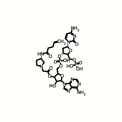 C=CCCC(=O)N[C@H]1CCN(CC(=O)OC2C(COP(=O)(O)O[C@@H]3C[C@H](n4ccc(N)nc4=O)OC3COP(=O)(O)O)OC(n3cnc4c(N)ncnc43)C2O)C1